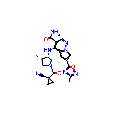 Cc1noc(-c2cc3c(N[C@@H]4CN(C(=O)C5(C#N)CC5)C[C@@H]4C)c(C(N)=O)cnn3c2)n1